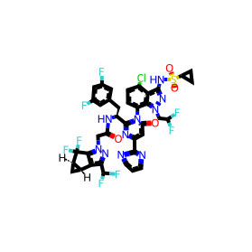 O=C(Cn1nc(C(F)F)c2c1C(F)(F)[C@@H]1C[C@H]21)N[C@@H](Cc1cc(F)cc(F)c1)c1nc(-c2ncccn2)cc(=O)n1-c1ccc(Cl)c2c(NS(=O)(=O)C3CC3)nn(CC(F)F)c12